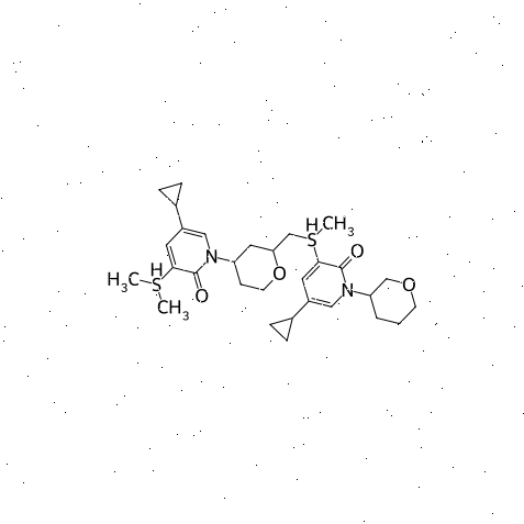 C[SH](C)c1cc(C2CC2)cn(C2CCOC(C[SH](C)c3cc(C4CC4)cn(C4CCCOC4)c3=O)C2)c1=O